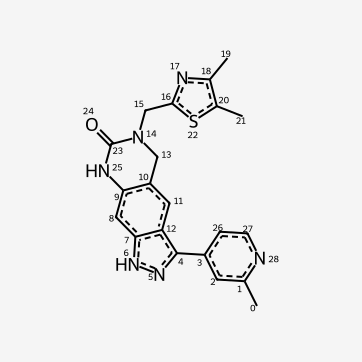 Cc1cc(-c2n[nH]c3cc4c(cc23)CN(Cc2nc(C)c(C)s2)C(=O)N4)ccn1